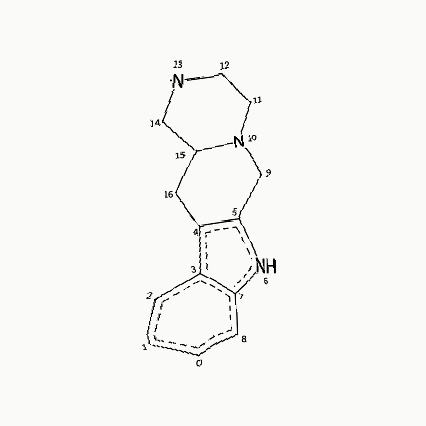 c1ccc2c3c([nH]c2c1)CN1CC[N]CC1C3